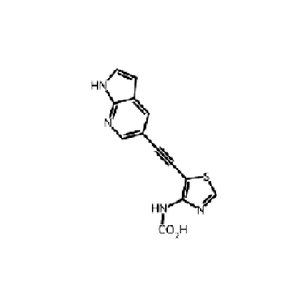 O=C(O)Nc1ncsc1C#Cc1cnc2[nH]ccc2c1